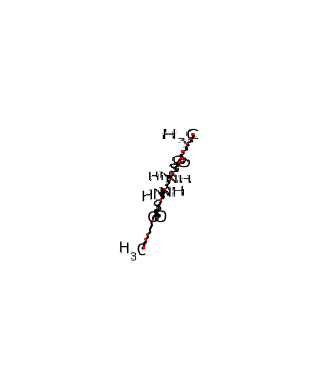 CCCCCCCCCCCCOC(=O)CCSCCCC(=N)NCCCCCNC(=N)CCCSCCC(=O)OCCCCCCCCCCCC